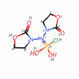 O=C1OCCN1[N+](N1CCOC1=O)=P(O)(O)Cl